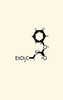 CCOC(=O)CSC(=O)Oc1ccccc1